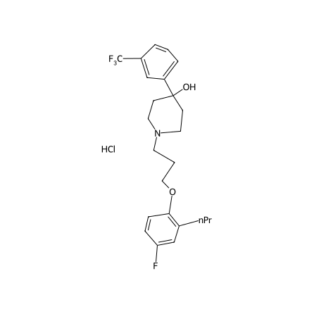 CCCc1cc(F)ccc1OCCCN1CCC(O)(c2cccc(C(F)(F)F)c2)CC1.Cl